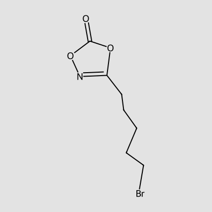 O=c1onc(CCCCCBr)o1